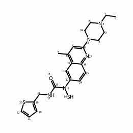 CCN1CCN(c2cc(C)c3cc(N(S)C(=O)NCc4cccs4)ccc3n2)CC1